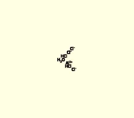 Cl.Cl.O.[Al+3].[Cl-].[Cl-].[Cl-]